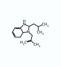 C=C(C)CN1C(CC(C)C)NC2=CC=CCC21